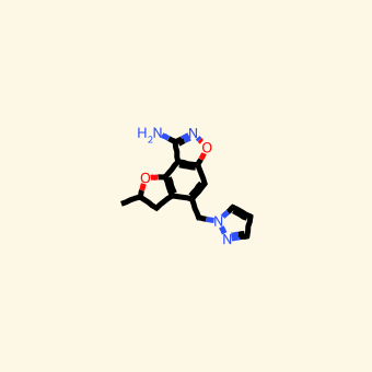 CC1Cc2c(Cn3cccn3)cc3onc(N)c3c2O1